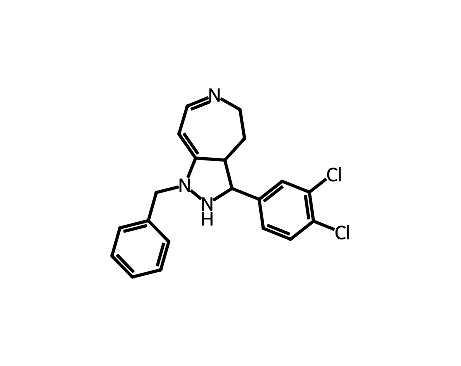 Clc1ccc(C2NN(Cc3ccccc3)C3=CC=NCCC32)cc1Cl